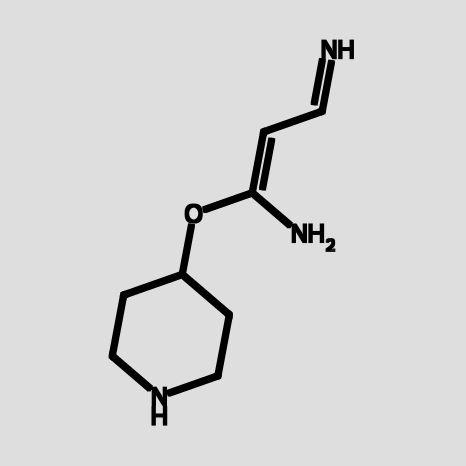 N=C/C=C(\N)OC1CCNCC1